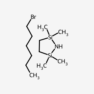 CCCCCCBr.C[Si]1(C)CC[Si](C)(C)N1